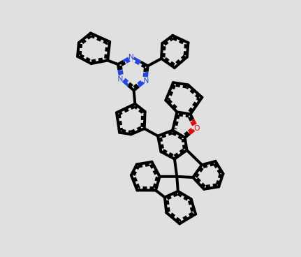 c1ccc(-c2nc(-c3ccccc3)nc(-c3cccc(-c4cc5c(c6oc7ccccc7c46)-c4ccccc4C54c5ccccc5-c5ccccc54)c3)n2)cc1